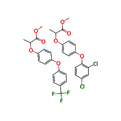 COC(=O)C(C)Oc1ccc(Oc2ccc(C(F)(F)F)cc2)cc1.COC(=O)C(C)Oc1ccc(Oc2ccc(Cl)cc2Cl)cc1